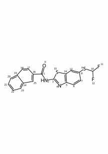 O=C(Nc1nc2ccc(SC(F)F)cc2s1)c1ccc2ccccc2c1